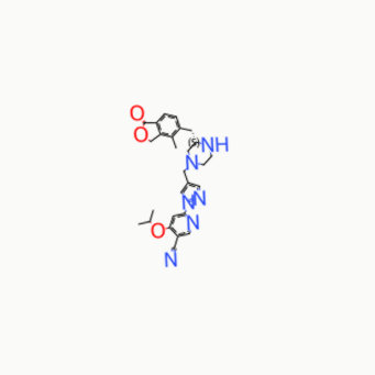 Cc1c(C[C@H]2CN(Cc3cnn(-c4cc(OC(C)C)c(C#N)cn4)c3)CCN2)ccc2c1COC2=O